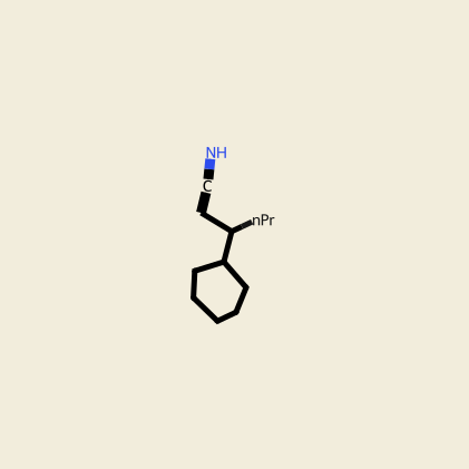 CCCC(C=C=N)C1CCCCC1